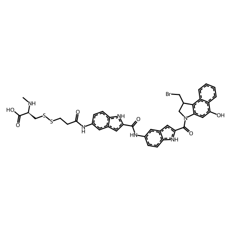 CN[C@@H](CSSCCC(=O)Nc1ccc2[nH]c(C(=O)Nc3ccc4[nH]c(C(=O)N5CC(CBr)c6c5cc(O)c5ccccc65)cc4c3)cc2c1)C(=O)O